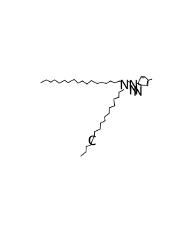 CCCCCCCCCCCCCCCCCCN(CCCCCCCCCCCCCCCCCC)Cn1nnc2cc(C)ccc21